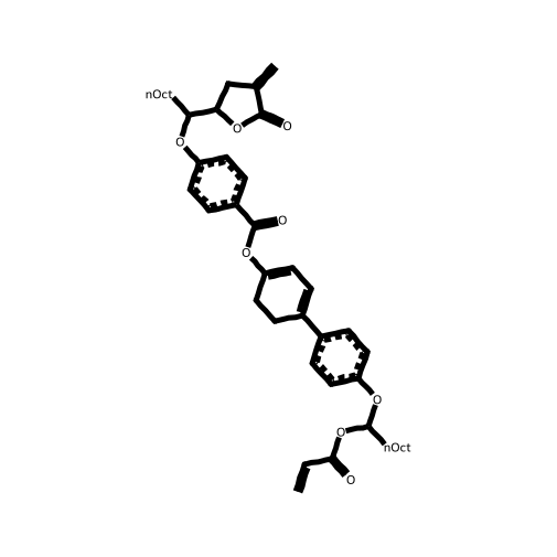 C=CC(=O)OC(CCCCCCCC)Oc1ccc(C2=CC=C(OC(=O)c3ccc(OC(CCCCCCCC)C4CC(=C)C(=O)O4)cc3)CC2)cc1